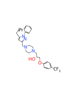 CC(C)Cc1cc(CN2CCN(C[C@@H](O)COc3ccc(C(F)(F)F)cc3)CC2)nn1-c1ccccc1